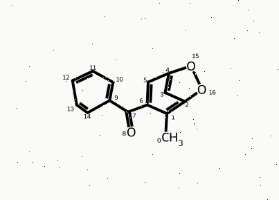 Cc1c2cc(cc1C(=O)c1ccccc1)OO2